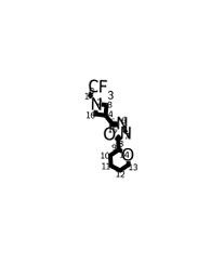 FC(F)(F)CN1CC(c2nnc(C3CCCCO3)o2)C1